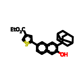 CCOC(=O)c1csc(-c2ccc3cc(O)c(C45CC6CC(CC(C6)C4)C5)cc3c2)c1